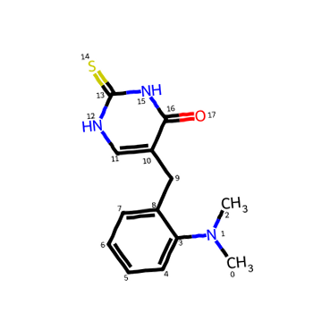 CN(C)c1ccccc1Cc1c[nH]c(=S)[nH]c1=O